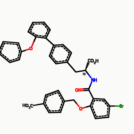 O=C(O)c1ccc(COc2ccc(Br)cc2C(=O)N[C@@H](Cc2ccc(-c3ccccc3Oc3ccccc3)cc2)C(=O)O)cc1